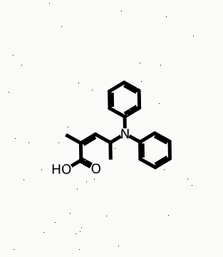 CC(=CC(C)N(c1ccccc1)c1ccccc1)C(=O)O